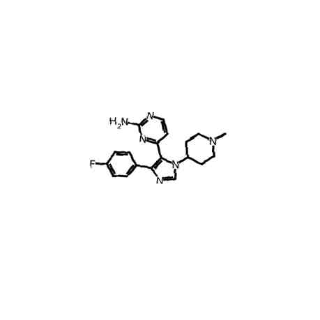 CN1CCC(n2cnc(-c3ccc(F)cc3)c2-c2ccnc(N)n2)CC1